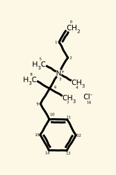 C=CC[N+](C)(C)C(C)(C)Cc1ccccc1.[Cl-]